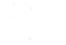 C=C(C(=O)O)C(C)OC(F)(F)C(F)(F)F